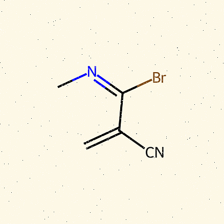 C=C(C#N)/C(Br)=N\C